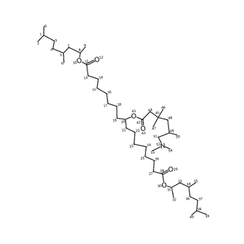 CC(C)CCC(C)CC(C)OC(=O)CCCCCCCC(CCCCCCCC(=O)OC(C)CC(C)CCC(C)C)OC(=O)CC(C)(C)CC(C)CN(C)C